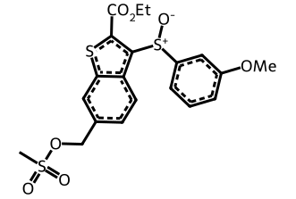 CCOC(=O)c1sc2cc(COS(C)(=O)=O)ccc2c1[S+]([O-])c1cccc(OC)c1